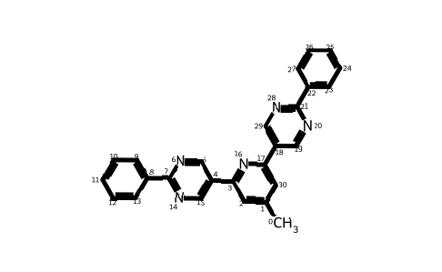 Cc1cc(-c2cnc(-c3ccccc3)nc2)nc(-c2cnc(-c3ccccc3)nc2)c1